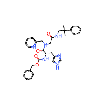 CC(C)(CNC(=O)CN(Cc1ccccn1)C(=O)[C@H](Cc1c[nH]cn1)NC(=O)OCc1ccccc1)c1ccccc1